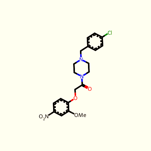 COc1cc([N+](=O)[O-])ccc1OCC(=O)N1CCN(Cc2ccc(Cl)cc2)CC1